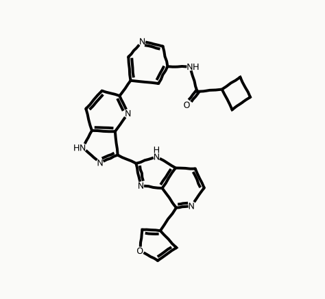 O=C(Nc1cncc(-c2ccc3[nH]nc(-c4nc5c(-c6ccoc6)nccc5[nH]4)c3n2)c1)C1CCC1